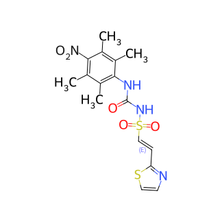 Cc1c(C)c([N+](=O)[O-])c(C)c(C)c1NC(=O)NS(=O)(=O)/C=C/c1nccs1